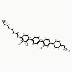 C=CC1CCC(c2ccc(-c3ccc(-c4ccc(OCCCCCCC)c(F)c4F)cc3)c(F)c2)CC1